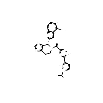 O=C(c1nnc(-c2ccn(C(F)F)n2)o1)N1CCc2[nH]cnc2[C@H]1c1cc2c(F)cccc2o1